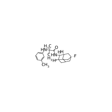 Cc1cccc(NC(C)(C)C(=O)N[C@H]2[C@@H]3CC4C[C@H]2C[C@](F)(C4)C3)c1